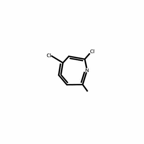 CC1=NC(Cl)=CC(Cl)=C=C1